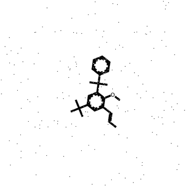 CC=Cc1cc(C(C)(C)C)cc(C(C)(C)c2ccccc2)c1OC